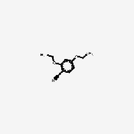 CCOc1ccc(C#N)c(OCC)c1